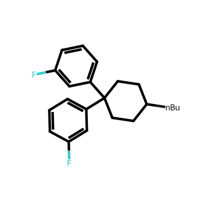 CCCCC1CCC(c2cccc(F)c2)(c2cccc(F)c2)CC1